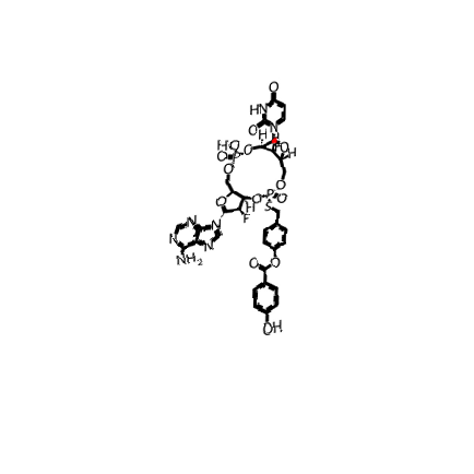 Nc1ncnc2c1ncn2[C@@H]1OC2COP(=O)(O)O[C@@H]3[C@H](F)[C@@H](CO[P@@](=O)(SCc4ccc(OC(=O)c5ccc(O)cc5)cc4)O[C@H]2[C@H]1F)O[C@H]3n1ccc(=O)[nH]c1=O